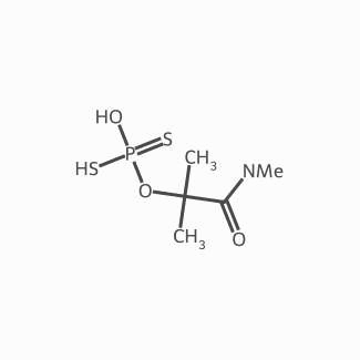 CNC(=O)C(C)(C)OP(O)(=S)S